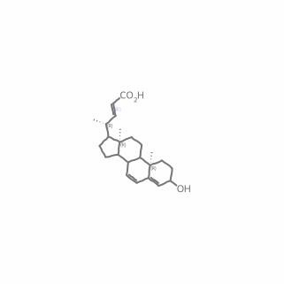 C[C@H](/C=C/C(=O)O)C1CCC2C3C=CC4=CC(O)CC[C@]4(C)C3CC[C@@]21C